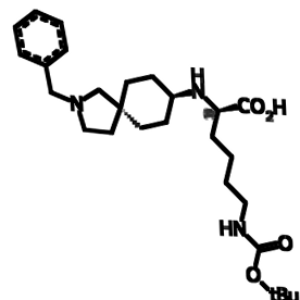 CC(C)(C)OC(=O)NCCCC[C@@H](N[C@H]1CC[C@@]2(CCN(Cc3ccccc3)C2)CC1)C(=O)O